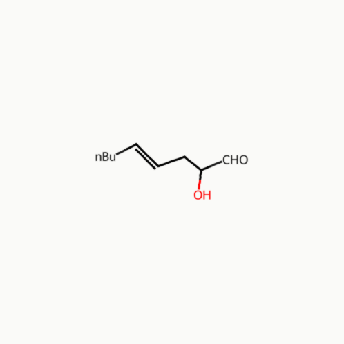 CCCCC=CCC(O)C=O